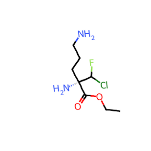 CCOC(=O)[C@@](N)(CCCN)C(F)Cl